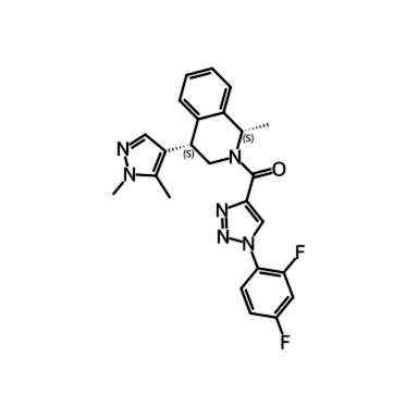 Cc1c([C@H]2CN(C(=O)c3cn(-c4ccc(F)cc4F)nn3)[C@@H](C)c3ccccc32)cnn1C